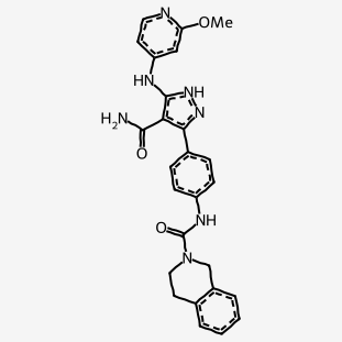 COc1cc(Nc2[nH]nc(-c3ccc(NC(=O)N4CCc5ccccc5C4)cc3)c2C(N)=O)ccn1